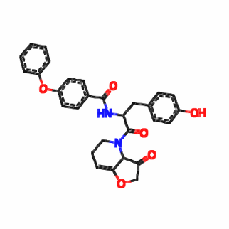 O=C(NC(Cc1ccc(O)cc1)C(=O)N1CCC=C2OCC(=O)C21)c1ccc(Oc2ccccc2)cc1